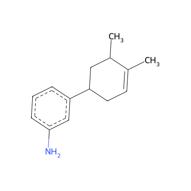 CC1=CCC(c2cccc(N)c2)CC1C